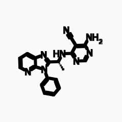 C[C@@H](Nc1ncnc(N)c1C#N)c1nc2cccnc2n1-c1ccccc1